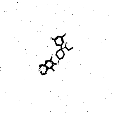 CCC(N)[C@]1(C2C=C(F)C=C(F)C2)CC[C@H](Oc2c(F)cc3cnccc3c2C)CC1